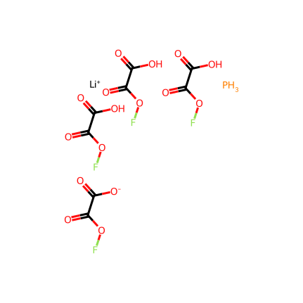 O=C(O)C(=O)OF.O=C(O)C(=O)OF.O=C(O)C(=O)OF.O=C([O-])C(=O)OF.P.[Li+]